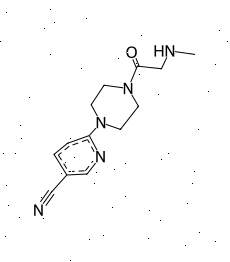 CNCC(=O)N1CCN(c2ccc(C#N)cn2)CC1